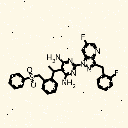 C[C](c1ccccc1CS(=O)(=O)c1ccccc1)c1c(N)nc(-n2nc(Cc3ccccc3F)c3ncc(F)cc32)nc1N